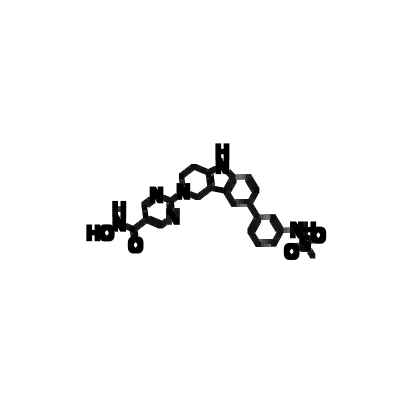 CS(=O)(=O)Nc1cccc(-c2ccc3[nH]c4c(c3c2)CN(c2ncc(C(=O)NO)cn2)CC4)c1